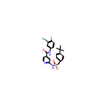 CC(C)(C)c1ccc(CS(=O)(=O)Nc2cc(C(=O)Nc3ccc(F)c(Cl)c3)ccn2)cc1